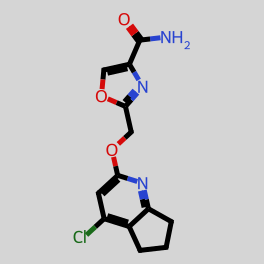 NC(=O)c1coc(COc2cc(Cl)c3c(n2)CCC3)n1